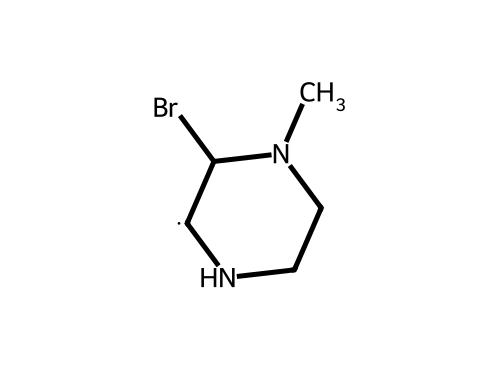 CN1CCN[CH]C1Br